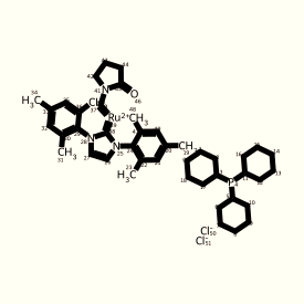 C1CCC(P(C2CCCCC2)C2CCCCC2)CC1.Cc1cc(C)c(-n2ccn(-c3c(C)cc(C)cc3C)[c]2=[Ru+2]=[CH]N2CCCC2=O)c(C)c1.[Cl-].[Cl-]